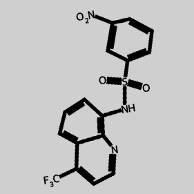 O=[N+]([O-])c1cccc(S(=O)(=O)Nc2cccc3c(C(F)(F)F)ccnc23)c1